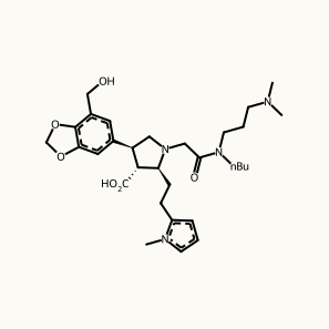 CCCCN(CCCN(C)C)C(=O)CN1C[C@H](c2cc(CO)c3c(c2)OCO3)[C@@H](C(=O)O)[C@@H]1CCc1cccn1C